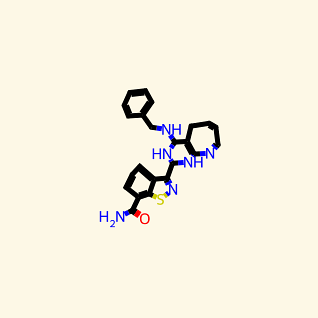 NC(=O)c1cccc2c(C3NC4=C(CC=CC=N4)C(NCc4ccccc4)N3)nsc12